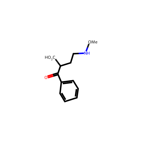 CONCCC(C(=O)O)C(=O)c1ccccc1